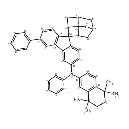 CC1(C)CCC(C)(C)c2cc(N(c3ccccc3)c3ccc4c(c3)-c3cc(-c5ccccc5)ccc3C43C4CC5CC6CC3C64C5)ccc21